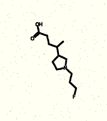 CC(CCC(=O)O)C1CCN(CCCF)C1